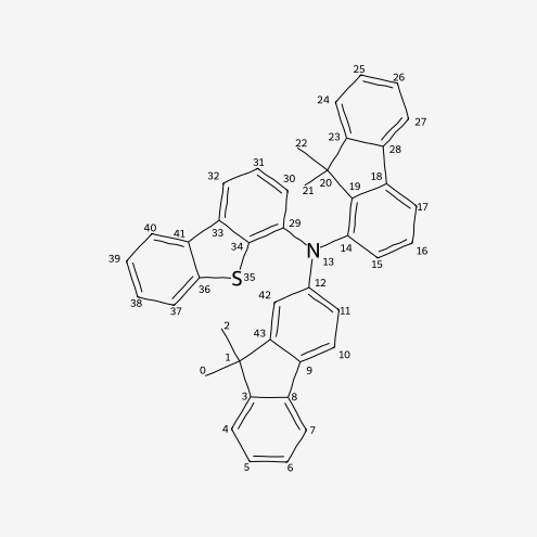 CC1(C)c2ccccc2-c2ccc(N(c3cccc4c3C(C)(C)c3ccccc3-4)c3cccc4c3sc3ccccc34)cc21